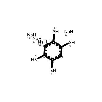 Sc1cc(S)c(S)cc1S.[NaH].[NaH].[NaH].[NaH]